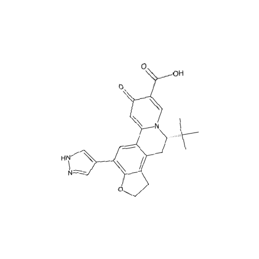 CC(C)(C)[C@@H]1Cc2c(cc(-c3cn[nH]c3)c3c2CCO3)-c2cc(=O)c(C(=O)O)cn21